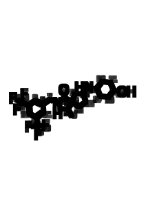 CC(C)C1(C(=O)NCc2cc(C(F)(F)F)cc(C(F)(F)F)c2)CCC(N[C@H]2CC[C@H](O)CC2)C1